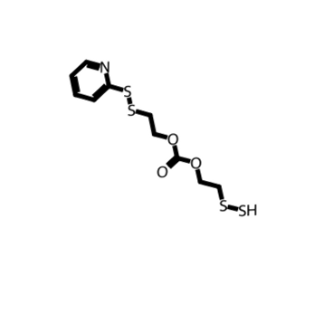 O=C(OCCSS)OCCSSc1ccccn1